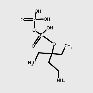 CCC(CC)(CCN)OP(=O)(O)OP(=O)(O)O